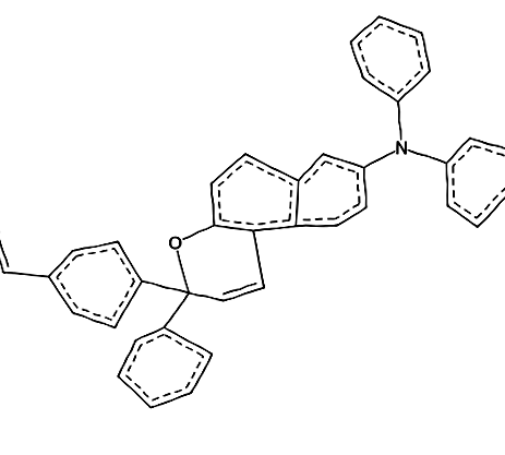 O=Cc1ccc(C2(c3ccccc3)C=Cc3c(ccc4cc(N(c5ccccc5)c5ccccc5)ccc34)O2)cc1